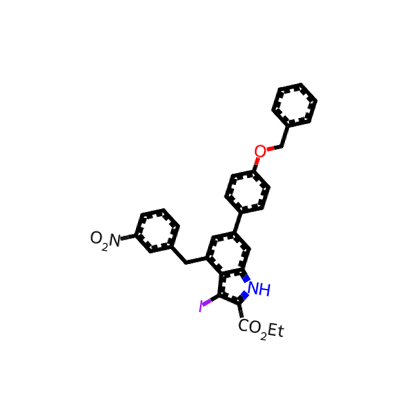 CCOC(=O)c1[nH]c2cc(-c3ccc(OCc4ccccc4)cc3)cc(Cc3cccc([N+](=O)[O-])c3)c2c1I